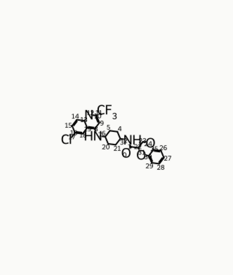 O=C(NC1CCC(Nc2cc(C(F)(F)F)nc3ccc(Cl)cc23)CC1)C1COc2ccccc2O1